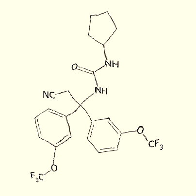 N#CCC(NC(=O)NC1CCCC1)(c1cccc(OC(F)(F)F)c1)c1cccc(OC(F)(F)F)c1